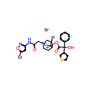 CCc1cc(NC(=O)C[N+]23CCC(CC2)[C@@H](OC(=O)C(O)(c2ccccc2)c2ccsc2)C3)no1.[Br-]